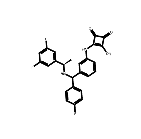 C[C@@H](NC(c1ccc(F)cc1)c1cccc(Nc2c(O)c(=O)c2=O)c1)c1cc(F)cc(F)c1